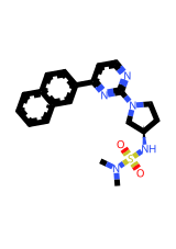 CN(C)S(=O)(=O)N[C@@H]1CCN(c2nccc(-c3ccc4ccccc4c3)n2)C1